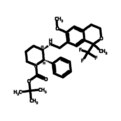 COc1cc2c(cc1CN[C@H]1CCCN(C(=O)OC(C)(C)C)[C@H]1c1ccccc1)C(C)(C(F)(F)F)OCC2